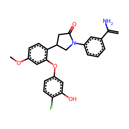 C=C(N)c1cccc(N2CC(c3ccc(OC)cc3Oc3ccc(F)c(O)c3)CC2=O)c1